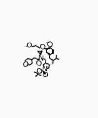 COCCCOc1cc(CC(C[C@@H]2CN(C(=O)OC(C)(C)C)C[C@H]2CN(C(=O)CC2CCOCC2)C2CC2)C(C)C)ccc1OC